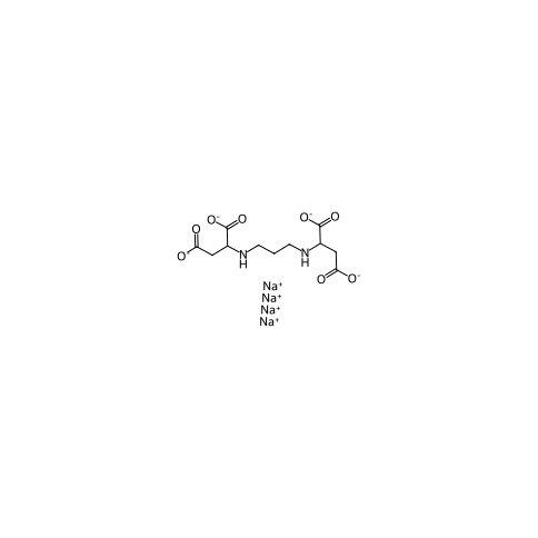 O=C([O-])CC(NCCCNC(CC(=O)[O-])C(=O)[O-])C(=O)[O-].[Na+].[Na+].[Na+].[Na+]